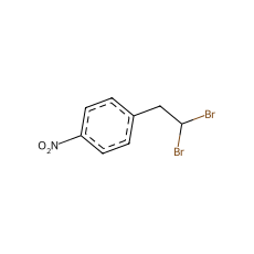 O=[N+]([O-])c1ccc(CC(Br)Br)cc1